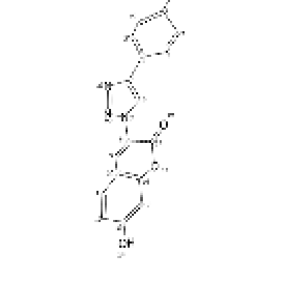 Cc1ccc(-c2cn(-c3cc4ccc(O)cc4oc3=O)nn2)cc1